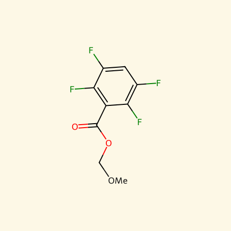 COCOC(=O)c1c(F)c(F)cc(F)c1F